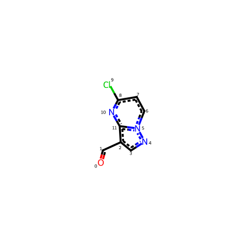 O=Cc1cnn2[c]cc(Cl)nc12